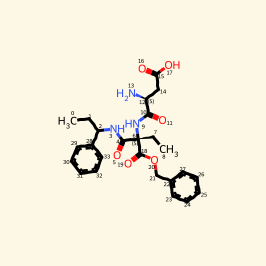 CCC(NC(=O)[C@](CC)(NC(=O)[C@@H](N)CC(=O)O)C(=O)OCc1ccccc1)c1ccccc1